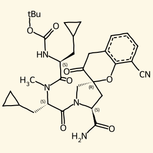 CN(C(=O)[C@H](CC1CC1)NC(=O)OC(C)(C)C)[C@@H](CC1CC1)C(=O)N1C[C@@]2(C[C@H]1C(N)=O)Oc1c(C#N)cccc1CC2=O